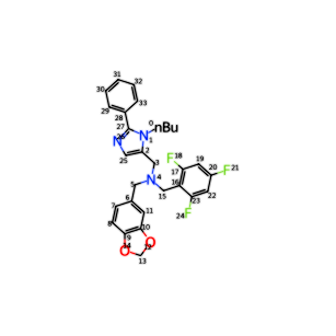 CCCCn1c(CN(Cc2ccc3c(c2)OCO3)Cc2c(F)cc(F)cc2F)cnc1-c1ccccc1